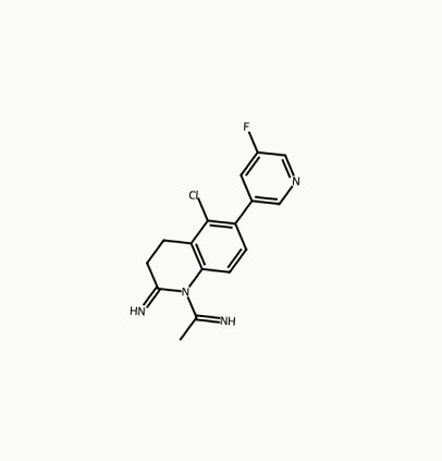 CC(=N)N1C(=N)CCc2c1ccc(-c1cncc(F)c1)c2Cl